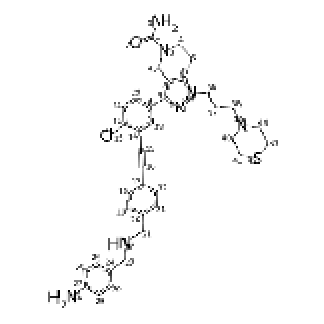 NC(=O)N1CCc2c(c(-c3ccc(Cl)c(C#Cc4ccc(CNCc5ccc(N)cc5)cc4)c3)nn2CCCN2CCSCC2)C1